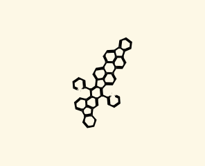 C1=Cc2c(c3cc4c(-c5ccccn5)c5c6ccc7c8ccc9c%10c(ccc(c%11ccc(c5c(-c5ccccn5)c4c4cccc2c34)c6c7%11)c%108)-c2ccccc2-9)CC1